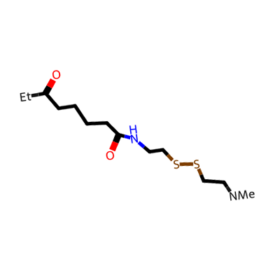 CCC(=O)CCCCC(=O)NCCSSCCNC